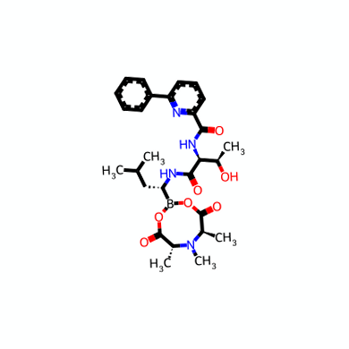 CC(C)C[C@H](NC(=O)[C@@H](NC(=O)c1cccc(-c2ccccc2)n1)[C@@H](C)O)B1OC(=O)[C@@H](C)N(C)[C@H](C)C(=O)O1